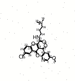 COc1cncc(C(=O)c2c(C(=O)NCCCN(C)C)oc3ccc(Cl)cc3c2=O)c1